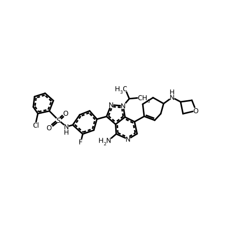 CC(C)n1nc(-c2ccc(NS(=O)(=O)c3ccccc3Cl)c(F)c2)c2c(N)ncc(C3=CCC(NC4COC4)CC3)c21